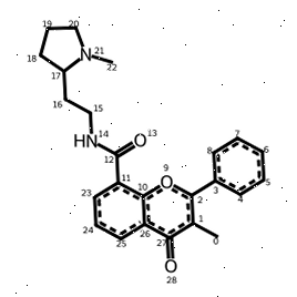 Cc1c(-c2ccccc2)oc2c(C(=O)NCCC3CCCN3C)cccc2c1=O